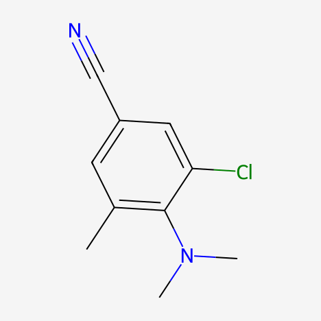 Cc1cc(C#N)cc(Cl)c1N(C)C